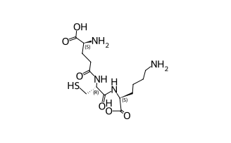 NCCCC[C@H](NC(=O)[C@H](CS)NC(=O)CC[C@H](N)C(=O)O)C(=O)O